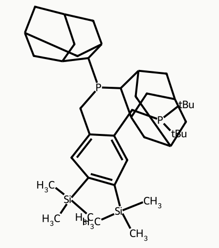 CC(C)(C)P(Cc1cc([Si](C)(C)C)c([Si](C)(C)C)cc1CP(C1C2CC3CC(C2)CC1C3)C1C2CC3CC(C2)CC1C3)C(C)(C)C